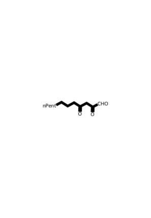 CCCCCCCCC(=O)CC(=O)C=O